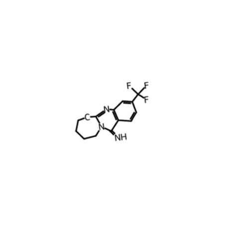 N=c1c2ccc(C(F)(F)F)cc2nc2n1CCCCC2